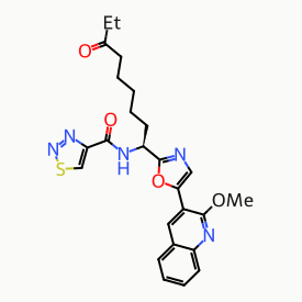 CCC(=O)CCCCC[C@H](NC(=O)c1csnn1)c1ncc(-c2cc3ccccc3nc2OC)o1